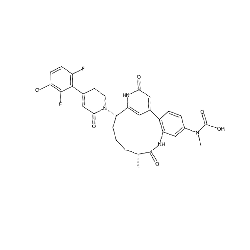 C[C@@H]1CCC[C@H](N2CCC(c3c(F)ccc(Cl)c3F)=CC2=O)c2cc(cc(=O)[nH]2)-c2ccc(N(C)C(=O)O)cc2NC1=O